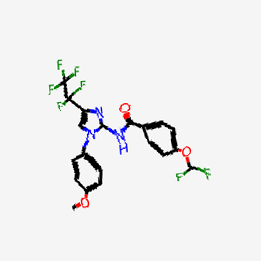 COc1ccc(-n2cc(C(F)(F)C(F)(F)F)nc2NC(=O)c2ccc(OC(F)F)cc2)cc1